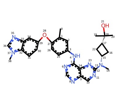 Cc1cc(Nc2ncnc3cnc(N(C)[C@H]4C[C@@H](C(C)(C)O)C4)nc23)ccc1Oc1ccc2c(c1)ncn2C